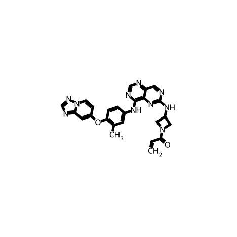 C=CC(=O)N1CC(Nc2ncc3ncnc(Nc4ccc(Oc5ccn6ncnc6c5)c(C)c4)c3n2)C1